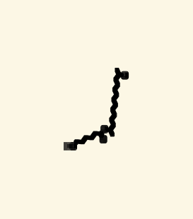 CC(=O)CCCCCCCCCCC(C)OC(=O)CCCCCO